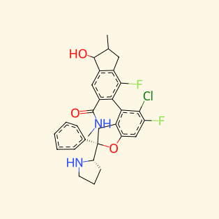 CNC(=O)c1cc2c(c(F)c1-c1c(Cl)c(F)cc3c1C[C@](c1ccccc1)([C@@H]1CCCN1)O3)CC(C)C2O